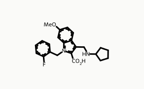 COc1ccc2c(CNC3CCCC3)c(C(=O)O)n(Cc3ccccc3F)c2c1